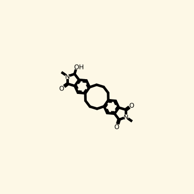 CN1C(=O)c2cc3c(cc2C1=O)CCCc1cc2c(cc1CCC3)C(=O)N(C)C2O